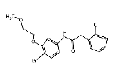 COCCOc1cc(NC(=O)Cc2ccccc2Cl)ccc1Br